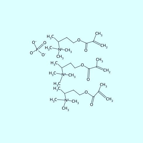 C=C(C)C(=O)OCCC(C)[N+](C)(C)C.C=C(C)C(=O)OCCC(C)[N+](C)(C)C.C=C(C)C(=O)OCCC(C)[N+](C)(C)C.O=P([O-])([O-])[O-]